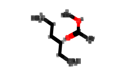 CCCCOC(=O)CCC.O=C(O)CCCCC(=O)O